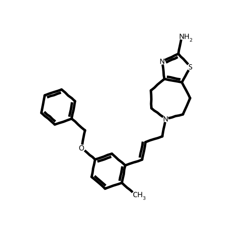 Cc1ccc(OCc2ccccc2)cc1C=CCN1CCc2nc(N)sc2CC1